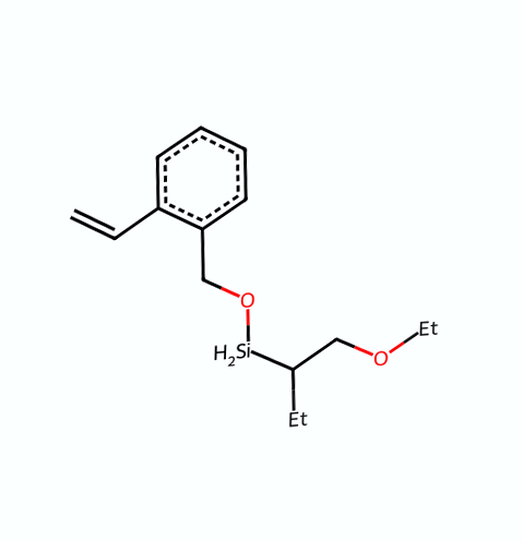 C=Cc1ccccc1CO[SiH2]C(CC)COCC